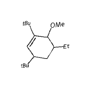 CCC1CC(C(C)(C)C)C=C(C(C)(C)C)C1OC